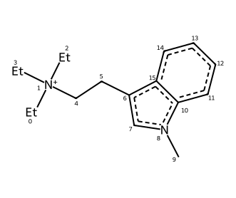 CC[N+](CC)(CC)CCc1cn(C)c2ccccc12